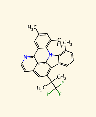 Cc1cc(C)c2c(c1)c1nccc3cc(C(C)(C)C(F)(F)F)c4c5cccc(C)c5n2c4c31